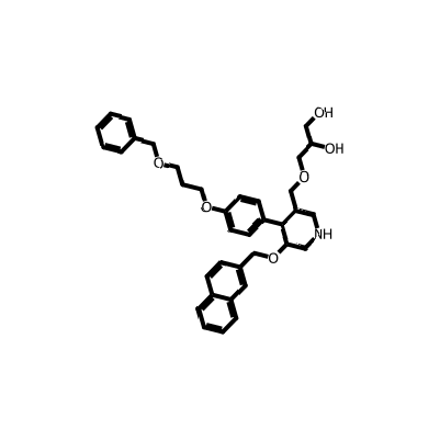 OCC(O)COCC1CNCC(OCc2ccc3ccccc3c2)C1c1ccc(OCCCOCc2ccccc2)cc1